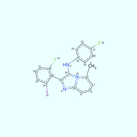 Cc1cccc2nc(-c3c(F)cccc3I)c(Nc3ccc(F)cc3)n12